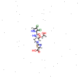 Cc1[nH]c(C(=O)N[C@@H]2CCN(c3ncc(C(=O)O)s3)C[C@@H]2OCC(C)O)c(Cl)c1Cl